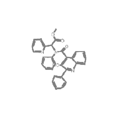 COC(=O)C(c1ccccn1)N(C(=O)c1c(O)c(-c2ccccc2)nc2ccccc12)c1ccccc1